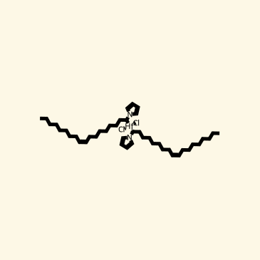 CCCCCCCC/C=C\CCCCCCC[CH](n1cccc1)[Hf]([Cl])([Cl])[CH](CCCCCCC/C=C\CCCCCCCC)n1cccc1